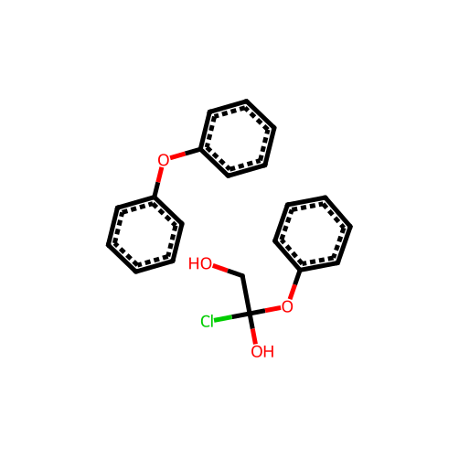 OCC(O)(Cl)Oc1ccccc1.c1ccc(Oc2ccccc2)cc1